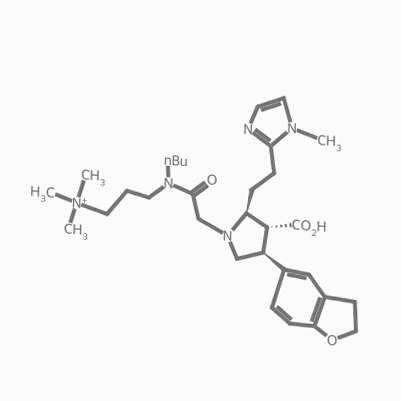 CCCCN(CCC[N+](C)(C)C)C(=O)CN1C[C@H](c2ccc3c(c2)CCO3)[C@@H](C(=O)O)[C@@H]1CCc1nccn1C